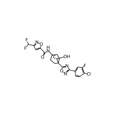 O=C(NC12CCC(c3nc(-c4ccc(Cl)c(F)c4)no3)(CC1)C(O)C2)c1cc(C(F)F)no1